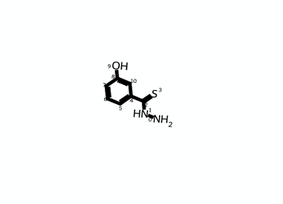 NNC(=S)c1cccc(O)c1